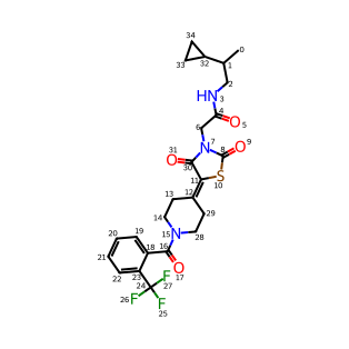 CC(CNC(=O)CN1C(=O)SC(=C2CCN(C(=O)c3ccccc3C(F)(F)F)CC2)C1=O)C1CC1